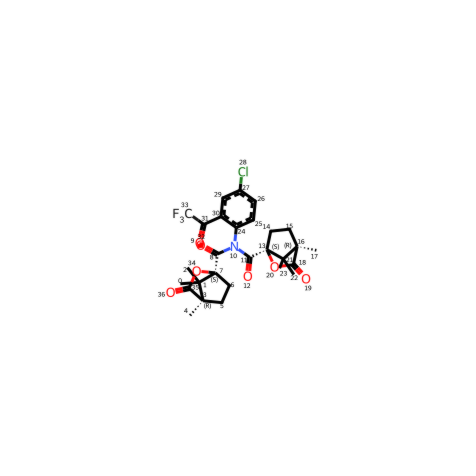 CC1(C)[C@@]2(C)CC[C@]1(C(=O)N(C(=O)[C@@]13CC[C@@](C)(C(=O)O1)C3(C)C)c1ccc(Cl)cc1C(=O)C(F)(F)F)OC2=O